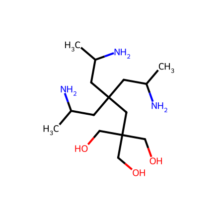 CC(N)CC(CC(C)N)(CC(C)N)CC(CO)(CO)CO